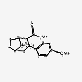 COC(=O)C1C(c2ccc(OC)cc2)CC2CCC1N2C(=O)O